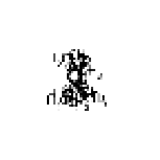 C=C(C)COC1CCCC(N(C(=O)OC(C)(C)C)C(=O)OC(C)(C)C)C(=O)OC(C)C1OC(=O)C1CC1